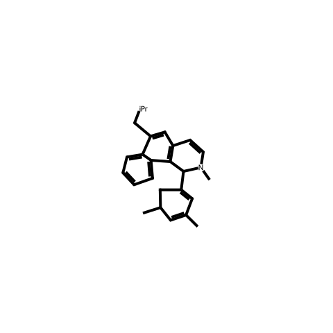 CC1=CC(C)CC(C2c3c(cc(CC(C)C)c4ccccc34)C=CN2C)=C1